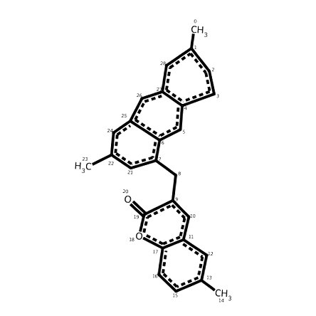 Cc1ccc2cc3c(Cc4cc5cc(C)ccc5oc4=O)cc(C)cc3cc2c1